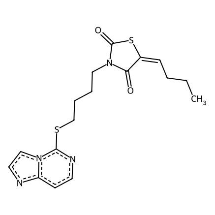 CCCC=C1SC(=O)N(CCCCSc2nccc3nccn23)C1=O